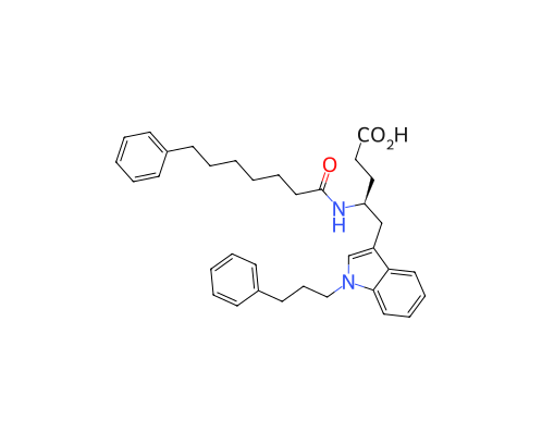 O=C(O)CC[C@@H](Cc1cn(CCCc2ccccc2)c2ccccc12)NC(=O)CCCCCCc1ccccc1